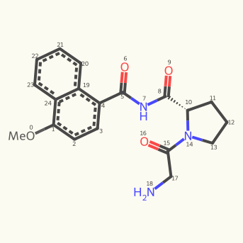 COc1ccc(C(=O)NC(=O)[C@@H]2CCCN2C(=O)CN)c2ccccc12